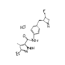 CCc1n[nH]c(C(=O)Nc2ccc(C[C@@H]3NC[C@@H]3F)cc2)c1C.Cl